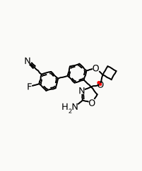 N#Cc1cc(-c2ccc3c(c2)C2(COC(N)=N2)C2(COC2)C2(CCC2)O3)ccc1F